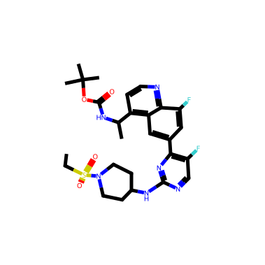 CCS(=O)(=O)N1CCC(Nc2ncc(F)c(-c3cc(F)c4nccc(C(C)NC(=O)OC(C)(C)C)c4c3)n2)CC1